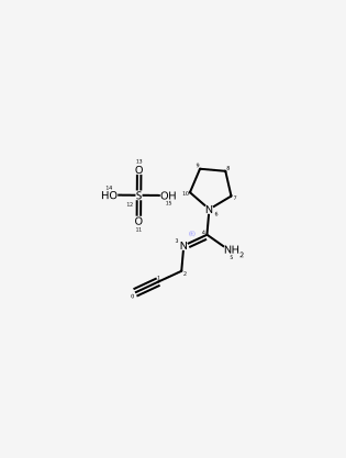 C#CC/N=C(\N)N1CCCC1.O=S(=O)(O)O